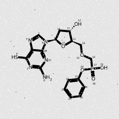 Nc1nc(S)c2ncn([C@H]3C[C@H](O)[C@@H](COCP(=O)(O)Oc4ccccc4)O3)c2n1